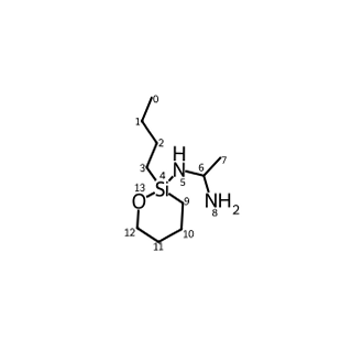 CCCC[Si]1(NC(C)N)CCCCO1